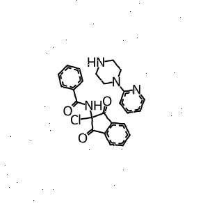 O=C(NC1(Cl)C(=O)c2ccccc2C1=O)c1ccccc1.c1ccc(N2CCNCC2)nc1